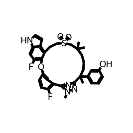 Cn1nc2nc1-c1cc(ccc1F)Oc1c(F)cc3[nH]ccc3c1CCS(=O)(=O)CC(C)(C)CCCC2(C)c1cccc(O)c1